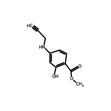 C#CCNc1ccc(C(=O)OC)c(O)c1